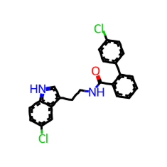 O=C(NCCc1c[nH]c2ccc(Cl)cc12)c1ccccc1-c1ccc(Cl)cc1